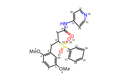 COc1ccc(OC)c(CC(CC(=O)Nc2ccncc2)S(=O)(=O)c2ccccc2)c1